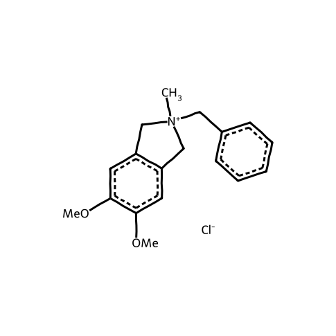 COc1cc2c(cc1OC)C[N+](C)(Cc1ccccc1)C2.[Cl-]